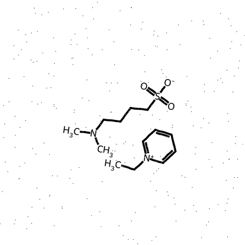 CC[n+]1ccccc1.CN(C)CCCCS(=O)(=O)[O-]